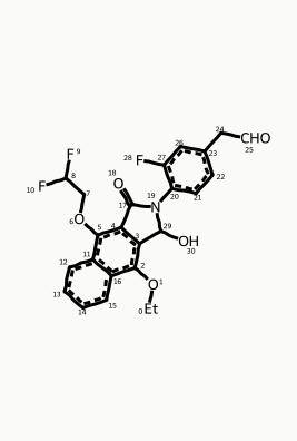 CCOc1c2c(c(OCC(F)F)c3ccccc13)C(=O)N(c1ccc(CC=O)cc1F)C2O